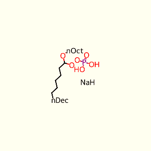 CCCCCCCCCCCCCCCC(OCCCCCCCC)OOP(=O)(O)O.[NaH]